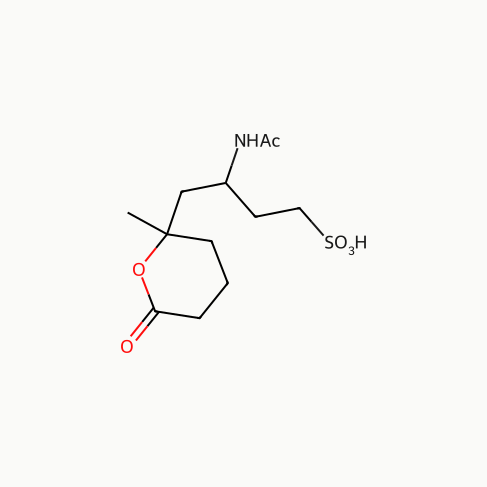 CC(=O)NC(CCS(=O)(=O)O)CC1(C)CCCC(=O)O1